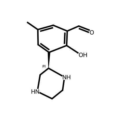 Cc1cc(C=O)c(O)c([C@@H]2CNCCN2)c1